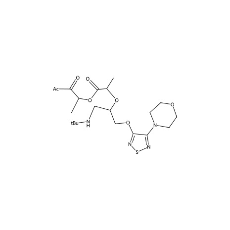 CC(=O)C(=O)C(C)OC(=O)C(C)OC(CNC(C)(C)C)COc1nsnc1N1CCOCC1